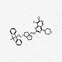 CC(C)(C)[Si](OC[C@@H]1CC[C@]2(COc3nc(N4CCOCC4)c4cnc(Cl)c(F)c4n3)CCCN12)(c1ccccc1)c1ccccc1